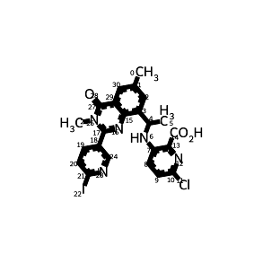 Cc1cc(C(C)Nc2ccc(Cl)nc2C(=O)O)c2nc(-c3ccc(I)nc3)n(C)c(=O)c2c1